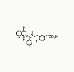 O=C(O)Cc1ccc(F)c(CCN[C@H](c2ccccc2)[C@H]2CNc3cccnc3N2)c1